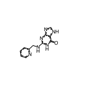 O=c1[nH]c(NCc2ccccn2)nc2nc[nH]c12